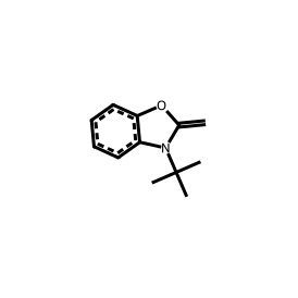 C=C1Oc2ccccc2N1C(C)(C)C